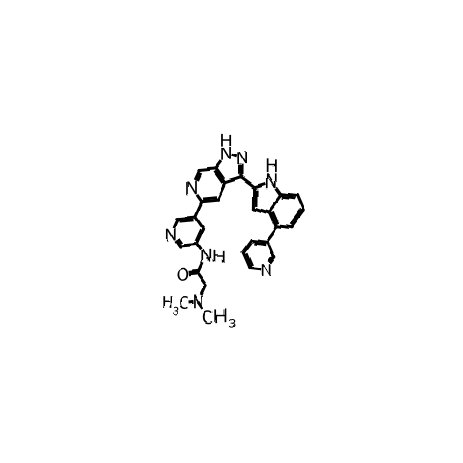 CN(C)CC(=O)Nc1cncc(-c2cc3c(-c4cc5c(-c6cccnc6)cccc5[nH]4)n[nH]c3cn2)c1